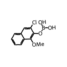 COc1c(OB(O)O)c(Cl)cc2ccccc12